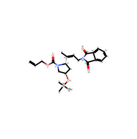 C=CCOC(=O)N1C[C@H](O[Si](C)(C)C(C)(C)C)C[C@H]1/C(C)=C\CN1C(=O)c2ccccc2C1=O